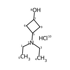 CCN(CC)C1CC(O)C1.Cl